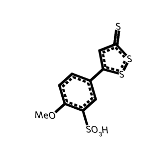 COc1ccc(-c2cc(=S)ss2)cc1S(=O)(=O)O